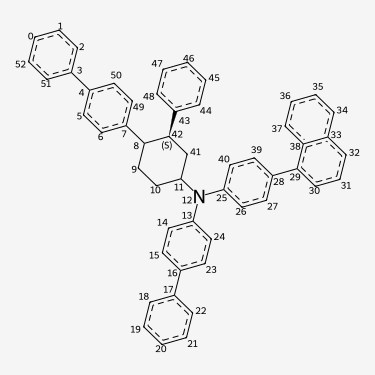 c1ccc(-c2ccc(C3CCC(N(c4ccc(-c5ccccc5)cc4)c4ccc(-c5cccc6ccccc56)cc4)C[C@@H]3c3ccccc3)cc2)cc1